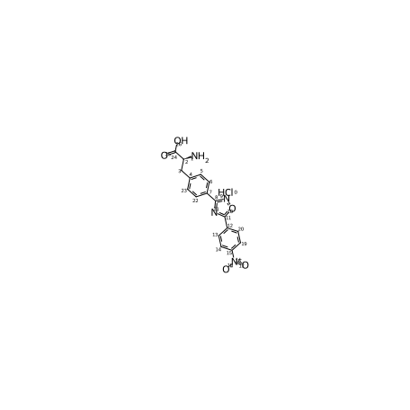 Cl.N[C@@H](Cc1ccc(-c2noc(-c3ccc([N+](=O)[O-])cc3)n2)cc1)C(=O)O